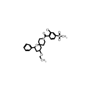 CCOC1CC(c2ccccc2)OC2(CCN(C(=O)c3ccc(S(C)(=O)=O)cc3Cl)CC2)C1